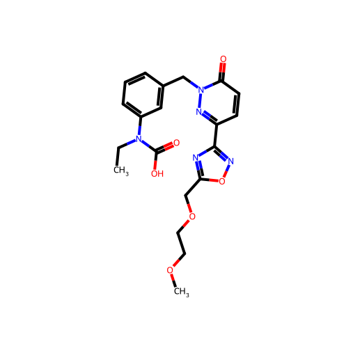 CCN(C(=O)O)c1cccc(Cn2nc(-c3noc(COCCOC)n3)ccc2=O)c1